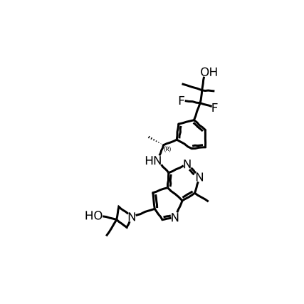 Cc1nnc(N[C@H](C)c2cccc(C(F)(F)C(C)(C)O)c2)c2cc(N3CC(C)(O)C3)cnc12